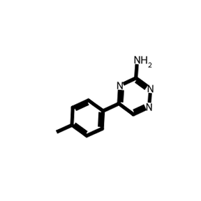 Cc1ccc(-c2cnnc(N)n2)cc1